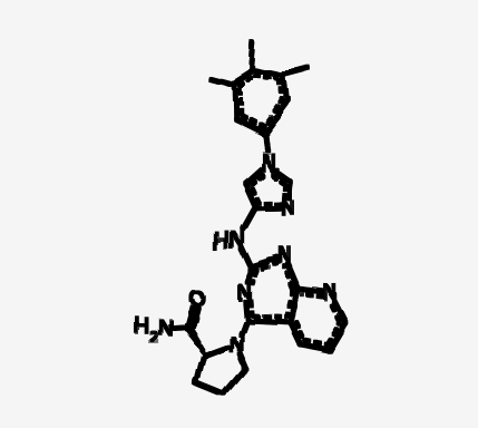 Cc1cc(-n2cnc(Nc3nc(N4CCC[C@H]4C(N)=O)c4cccnc4n3)c2)cc(C)c1C